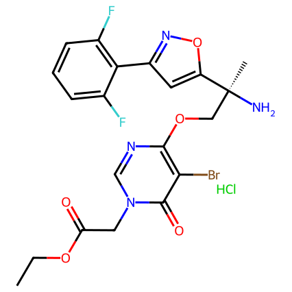 CCOC(=O)Cn1cnc(OC[C@](C)(N)c2cc(-c3c(F)cccc3F)no2)c(Br)c1=O.Cl